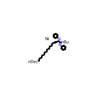 CCCCCCCCCCCCCCCCCCCCCCC#CC(=N\c1ccccc1)/C(CCCC)=N/c1ccccc1.[Ni]